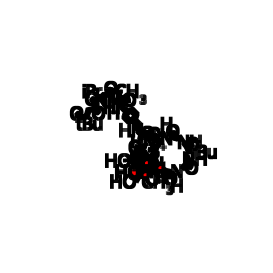 CC[C@H](C)[C@@H]1NC(=O)CNC(=O)[C@@H]2Cc3c([nH]c4cc(O)ccc34)[S+]([O-])C[C@H](NC(=O)CNC1=O)C(=O)N[C@@H](CC(=O)NCc1ccc(NC(=O)[C@H](C)NC(=O)C(NC(=O)C(=O)CCC(=O)C(C)(C)C)C(C)C)cc1)C(=O)N1C[C@H](O)C[C@H]1N[C@@H]([C@@H](C)[C@@H](O)CO)C(=O)N2